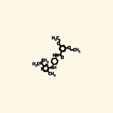 CCOc1cc(OCC)cc(C(=O)N[C@H]2CC[C@@H](Nc3nc(N(C)C)ncc3C)CC2)c1